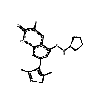 CC1=NCC(C)=C1c1cc(SNC2CCCC2)c2cc(C)c(=O)[nH]c2c1